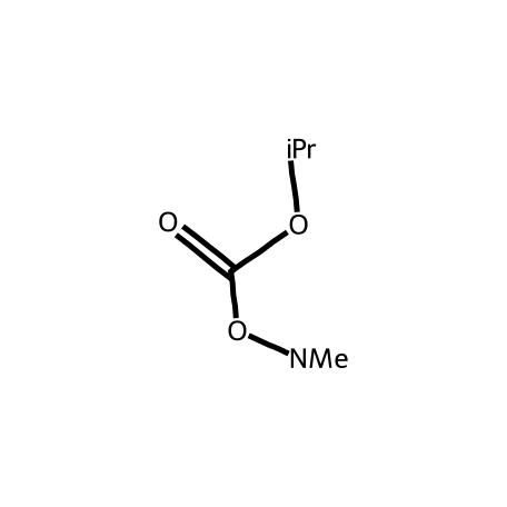 CNOC(=O)OC(C)C